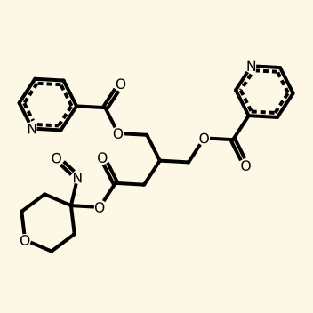 O=NC1(OC(=O)CC(COC(=O)c2cccnc2)COC(=O)c2cccnc2)CCOCC1